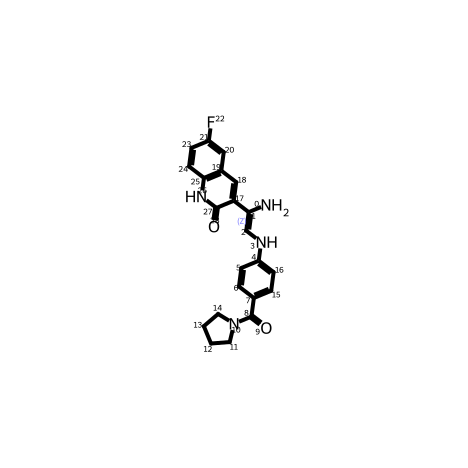 N/C(=C\Nc1ccc(C(=O)N2CCCC2)cc1)c1cc2cc(F)ccc2[nH]c1=O